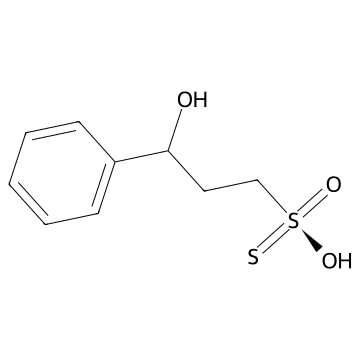 O=[S@](O)(=S)CCC(O)c1ccccc1